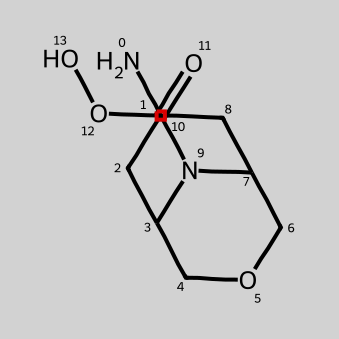 NC1CC2COCC(C1)N2C(=O)OO